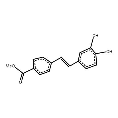 COC(=O)c1ccc(/C=C/c2ccc(O)c(O)c2)cc1